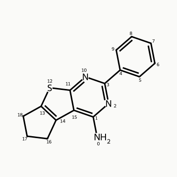 Nc1nc(-c2ccccc2)nc2sc3c(c12)CCC3